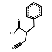 N#CCC(Cc1ccccc1)C(=O)O